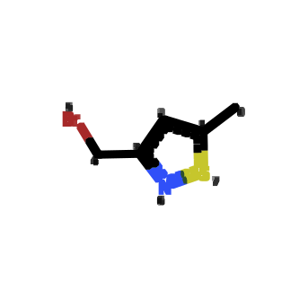 Cc1cc(CBr)ns1